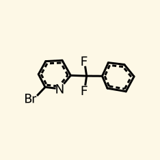 FC(F)(c1ccccc1)c1cccc(Br)n1